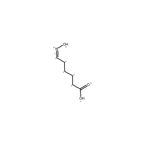 O=C(O)CCCC/C=N\O